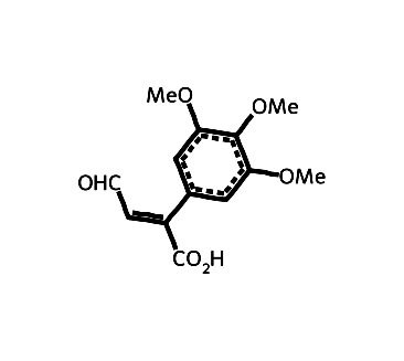 COc1cc(/C(=C\C=O)C(=O)O)cc(OC)c1OC